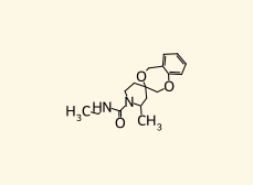 CCNC(=O)N1CCC2(COc3ccccc3CO2)CC1C